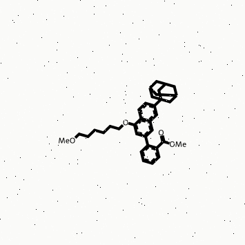 COCCCCCCOc1cc(-c2ccccc2C(=O)OC)cc2cc(C34CC5CC(CC(C5)C3)C4)ccc12